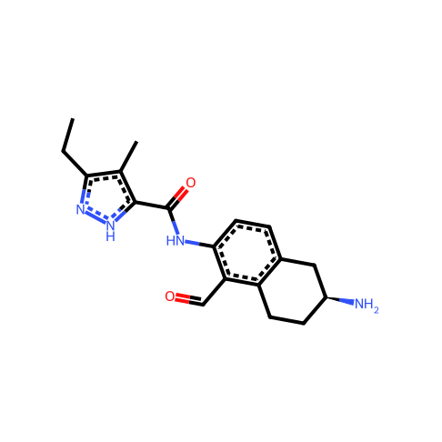 CCc1n[nH]c(C(=O)Nc2ccc3c(c2C=O)CC[C@H](N)C3)c1C